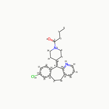 CCCC(=O)N1CCC(=C2c3ccc(Cl)cc3CCc3cccnc32)CC1